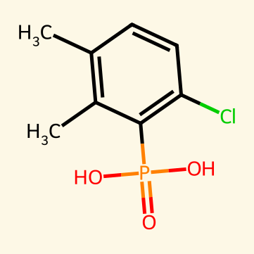 Cc1ccc(Cl)c(P(=O)(O)O)c1C